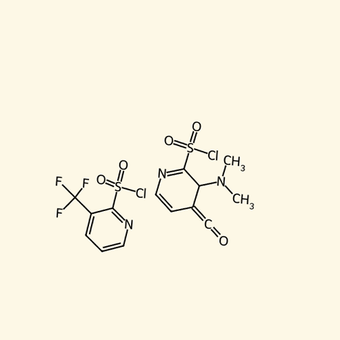 CN(C)C1C(=C=O)C=CN=C1S(=O)(=O)Cl.O=S(=O)(Cl)c1ncccc1C(F)(F)F